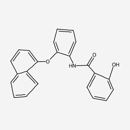 O=C(Nc1ccccc1Oc1cccc2ccccc12)c1ccccc1O